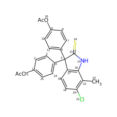 CC(=O)Oc1ccc(C2(c3ccc(OC(C)=O)cc3)C(=S)Nc3c2ccc(Cl)c3C)cc1